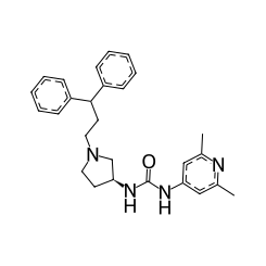 Cc1cc(NC(=O)N[C@H]2CCN(CCC(c3ccccc3)c3ccccc3)C2)cc(C)n1